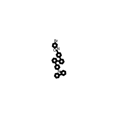 Brc1ccc2oc(-c3ccc(-c4ccccc4-c4ccccc4-c4ccc(-n5c6ccccc6c6ccccc65)cc4)cc3)nc2c1